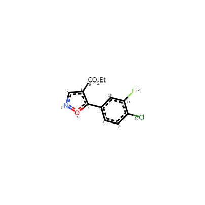 CCOC(=O)c1cnoc1-c1ccc(Cl)c(F)c1